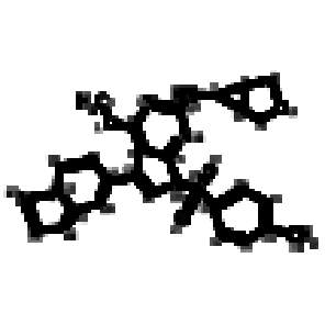 COc1nc(NC2C3COCC32)nc2c1c(-c1ccn3nccc3c1)cn2S(=O)(=O)c1ccc(C)cc1